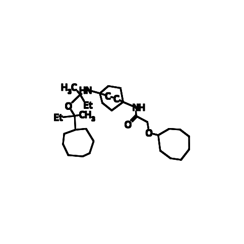 CCC(C)(NC12CCC(NC(=O)COC3CCCCCCC3)(CC1)CC2)OC(C)(CC)C1CCCCCCC1